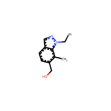 Cc1c(CO)ccc2cnn(CC(C)C)c12